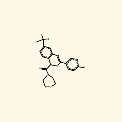 O=C(C1NC(c2ccc(Br)cc2)=Nc2cc(C(F)(F)F)ccc21)N1CCOCC1